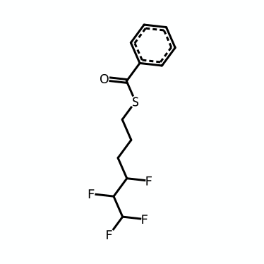 O=C(SCCCC(F)C(F)C(F)F)c1ccccc1